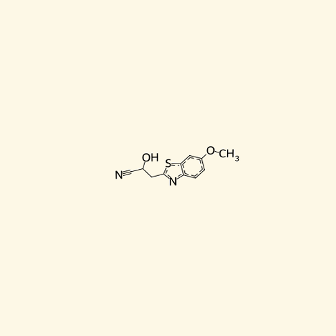 COc1ccc2nc(CC(O)C#N)sc2c1